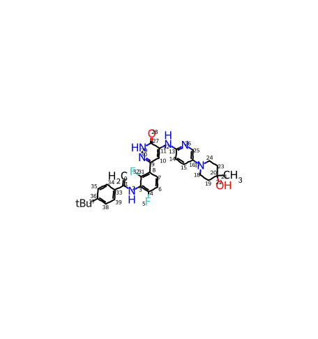 C=C(Nc1c(F)ccc(-c2cc(Nc3ccc(N4CCC(C)(O)CC4)cn3)c(=O)[nH]n2)c1F)c1ccc(C(C)(C)C)cc1